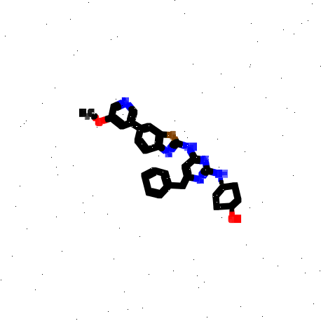 COc1cncc(-c2ccc3nc(Nc4cc(Cc5ccccc5)nc(N[C@H]5CC[C@H](O)CC5)n4)sc3c2)c1